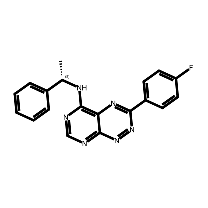 C[C@H](Nc1ncnc2nnc(-c3ccc(F)cc3)nc12)c1ccccc1